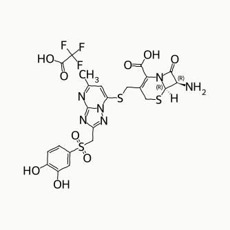 Cc1cc(SCC2=C(C(=O)O)N3C(=O)[C@@H](N)[C@H]3SC2)n2nc(CS(=O)(=O)c3ccc(O)c(O)c3)nc2n1.O=C(O)C(F)(F)F